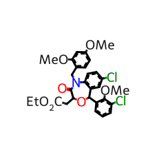 CCOC(=O)CC1OC(c2cccc(Cl)c2OC)c2cc(Cl)ccc2N(Cc2ccc(OC)cc2OC)C1=O